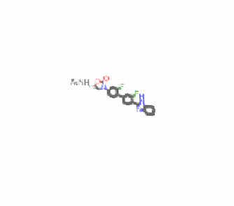 CC(=O)NC[C@H]1CN(c2ccc(-c3ccc(-c4nc5ccccc5[nH]4)c(F)c3)c(F)c2)C(=O)O1